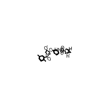 COC1CN(C(=O)c2cc(C)ccc2C)CC1Oc1cccc(NS(=O)(=O)N2C[C@@H]3C[C@H]3C2)c1